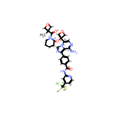 CC1(C(=O)N2CCC[C@@H](c3nc(-c4ccc(C(=O)Nc5cc(C(F)(F)F)ccn5)cc4)c4c(N)ncc(C5(O)COC5)n34)C2)COC1